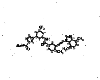 CNC(=O)c1cn(-c2cc(NC(=O)c3ccc(C)c(C#Cn4cnc5c(C)ccc(C)c54)c3)cc(C(F)(F)F)c2)cn1